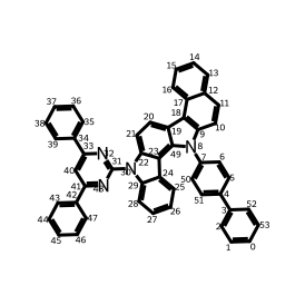 c1ccc(-c2ccc(-n3c4ccc5ccccc5c4c4ccc5c(c6ccccc6n5-c5nc(-c6ccccc6)cc(-c6ccccc6)n5)c43)cc2)cc1